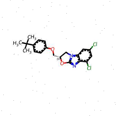 CC(C)(C)c1ccc(OC[C@@H]2Cn3c(nc4c(Cl)cc(Cl)cc43)O2)cc1